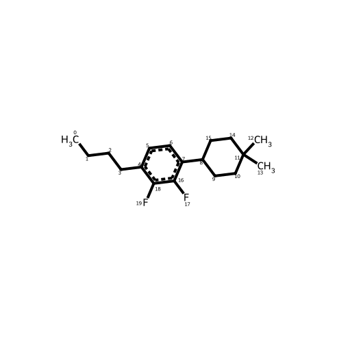 CCCCc1ccc(C2CCC(C)(C)CC2)c(F)c1F